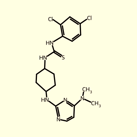 CN(C)c1ccnc(NC2CCC(NC(=S)Nc3ccc(Cl)cc3Cl)CC2)n1